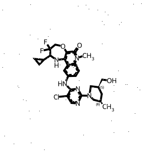 C[C@@H]1C[C@H](CO)CN(c2ncc(Cl)c(Nc3ccc4c(c3)c3c(c(=O)n4C)OCC(F)(F)C(C4CC4)N3)n2)C1